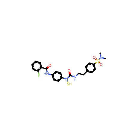 CN(C)S(=O)(=O)c1ccc(CCNC(=O)N(S)c2ccc(NC(=O)c3ccccc3F)cc2)cc1